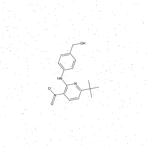 CC(C)(C)c1ccc([N+](=O)[O-])c(Nc2ccc(CO)cc2)n1